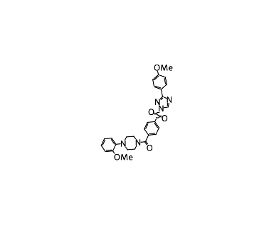 COc1ccc(-c2ncn(S(=O)(=O)c3ccc(C(=O)N4CCN(c5ccccc5OC)CC4)cc3)n2)cc1